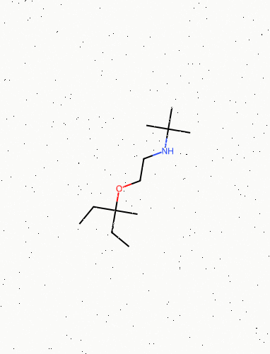 CCC(C)(CC)OCCNC(C)(C)C